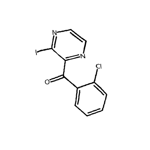 O=C(c1ccccc1Cl)c1nccnc1I